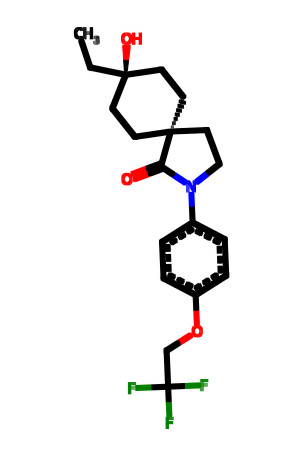 CC[C@]1(O)CC[C@@]2(CCN(c3ccc(OCC(F)(F)F)cc3)C2=O)CC1